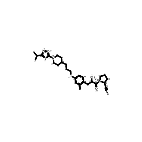 Cc1cc(OCCCC2CCN(c3nc(C(C)C)no3)CC2)ccc1CC(N)C(=O)N1CCCC1C#N